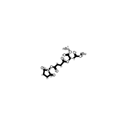 CCCCOC(=O)[C@H](CC(=O)OC(C)(C)C)OC(=O)CCC(=O)ON1C(=O)CCC1=O